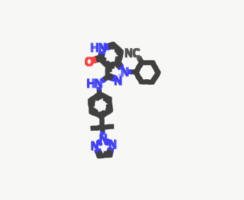 CC(C)(c1ccc(Nc2nn(C3CCCCC3C#N)c3cc[nH]c(=O)c23)cc1)n1nccn1